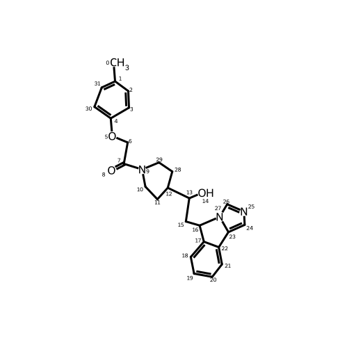 Cc1ccc(OCC(=O)N2CCC(C(O)CC3c4ccccc4-c4cncn43)CC2)cc1